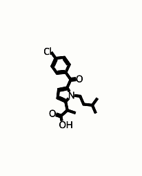 CC(C)CCn1c(C(=O)c2ccc(Cl)cc2)ccc1C(C)C(=O)O